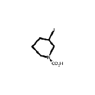 O=C(O)N1CCCC(I)C1